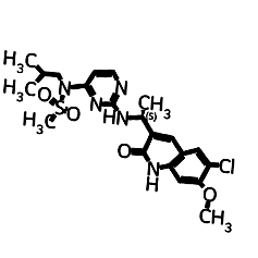 COc1cc2[nH]c(=O)c([C@H](C)Nc3nccc(N(CC(C)C)S(C)(=O)=O)n3)cc2cc1Cl